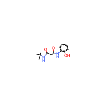 CC(C)(C)NC(=O)CC(=O)Nc1ccccc1O